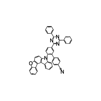 N#Cc1ccc(-c2cc(-c3nc(-c4ccccc4)nc(-c4ccccc4)n3)ccc2-n2c3ccccc3c3c4c(ccc32)oc2ccccc24)cc1